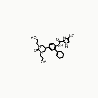 [C-]#[N+]c1c[nH]c(C(=O)Nc2ccc(C3CN(CCO)C(=O)N(CCO)C3)cc2C2=CCCCC2)n1